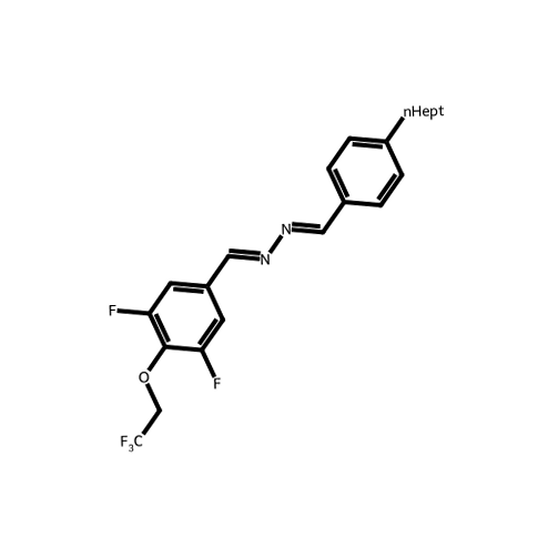 CCCCCCCc1ccc(/C=N/N=C/c2cc(F)c(OCC(F)(F)F)c(F)c2)cc1